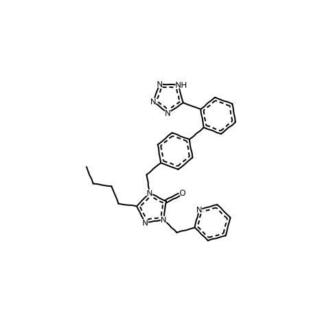 CCCCc1nn(Cc2ccccn2)c(=O)n1Cc1ccc(-c2ccccc2-c2nnn[nH]2)cc1